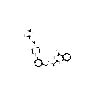 Nc1nnc(SC(=O)N2CCN(c3cccc(CNC(=O)c4nc5ccccc5c(=O)[nH]4)c3)CC2)s1